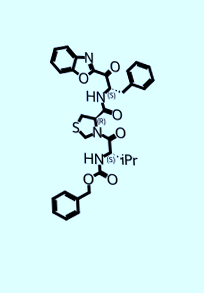 CC(C)[C@H](NC(=O)OCc1ccccc1)C(=O)N1CSC[C@H]1C(=O)N[C@@H](Cc1ccccc1)C(=O)c1nc2ccccc2o1